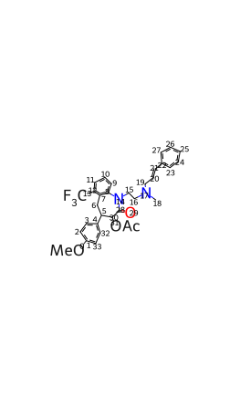 COc1ccc(C2Cc3c(cccc3C(F)(F)F)N(CCN(C)CC=Cc3ccccc3)C(=O)C2OC(C)=O)cc1